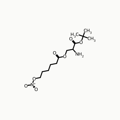 CC(C)(C)OC(=O)C(N)COC(=O)CCCCCO[N+](=O)[O-]